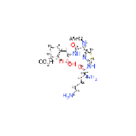 CO/N=C(\C(=O)N[C@H]1Cc2cccc(C(=O)O)c2OB1O)c1csc(NC(=O)C(N)CCCCN)n1